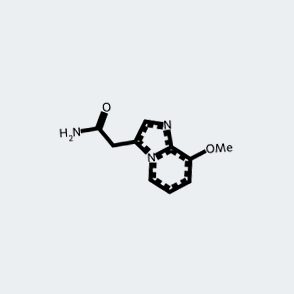 COc1cccn2c(CC(N)=O)cnc12